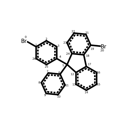 Brc1ccc(C2(c3ccccc3)c3ccccc3-c3c(Br)cccc32)cc1